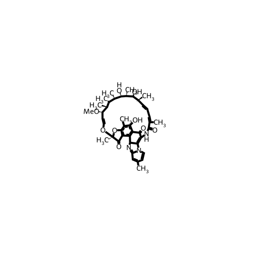 CO[C@H]1/C=C/O[C@@]2(C)Oc3c(C)c(O)c4c(c3C2=O)C2N=C3C=C(C)C=CN3C2=C(NC(=O)/C(C)=C\C=C\[C@H](C)[C@H](O)[C@@H](C)[C@@H](O)[C@@H](C)[C@H](C)[C@@H]1C)C4=O